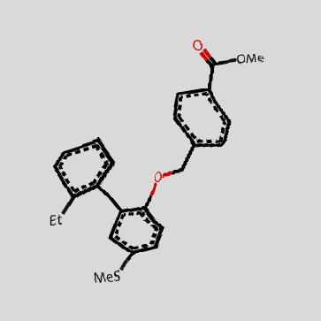 CCc1ccccc1-c1cc(SC)ccc1OCc1ccc(C(=O)OC)cc1